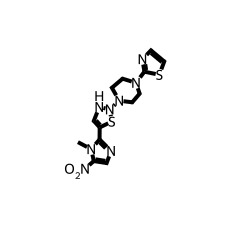 Cn1c([N+](=O)[O-])cnc1C1=CNN(N2CCN(c3nccs3)CC2)S1